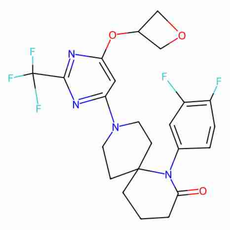 O=C1CCCC2(CCN(c3cc(OC4COC4)nc(C(F)(F)F)n3)CC2)N1c1ccc(F)c(F)c1